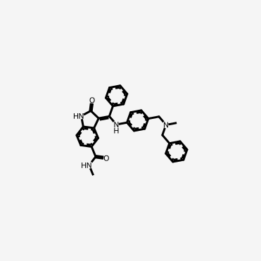 CNC(=O)c1ccc2c(c1)C(=C(Nc1ccc(CN(C)Cc3ccccc3)cc1)c1ccccc1)C(=O)N2